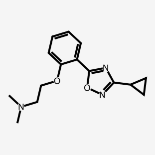 CN(C)CCOc1ccccc1-c1nc(C2CC2)no1